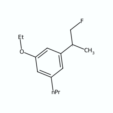 CCCc1cc(OCC)cc([C](C)CF)c1